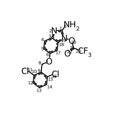 Nc1nc2ccc(OCc3c(Cl)cccc3Cl)cc2n1OC(=O)C(F)(F)F